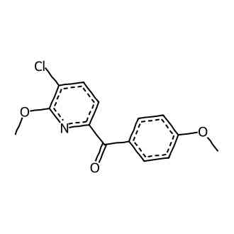 COc1ccc(C(=O)c2ccc(Cl)c(OC)n2)cc1